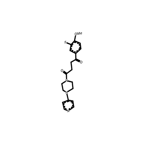 COc1ccc(C(=O)CCC(=O)N2CCN(c3ccncc3)CC2)cc1F